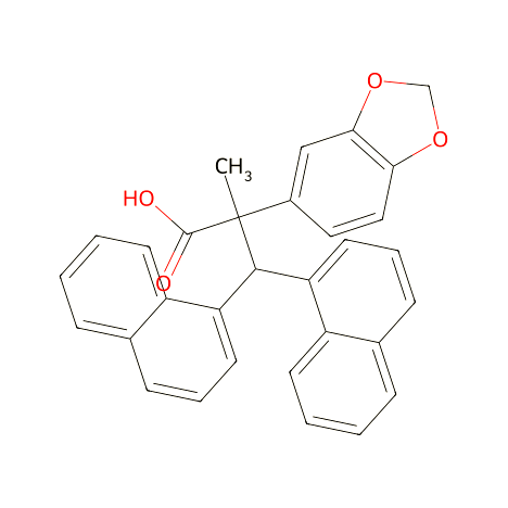 CC(C(=O)O)(c1ccc2c(c1)OCO2)C(c1cccc2ccccc12)c1cccc2ccccc12